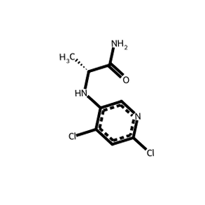 C[C@@H](Nc1cnc(Cl)cc1Cl)C(N)=O